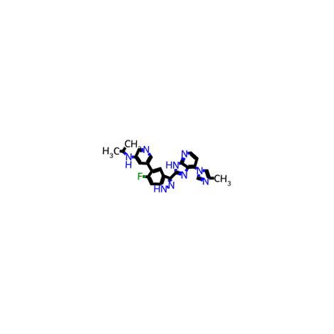 Cc1cn(-c2ccnc3[nH]c(-c4n[nH]c5cc(F)c(-c6cncc(NC(C)C)c6)cc45)nc23)cn1